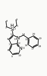 CC[SiH](CC)c1cc2cccnc2n1Cc1ccccc1